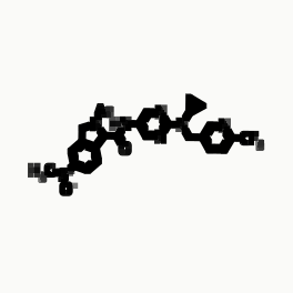 CC(=O)N1Cc2cc([S+](C)[O-])ccc2C1C(=O)Nc1cnc(N(Cc2ccc(C(F)(F)F)nc2)C2CC2)nc1